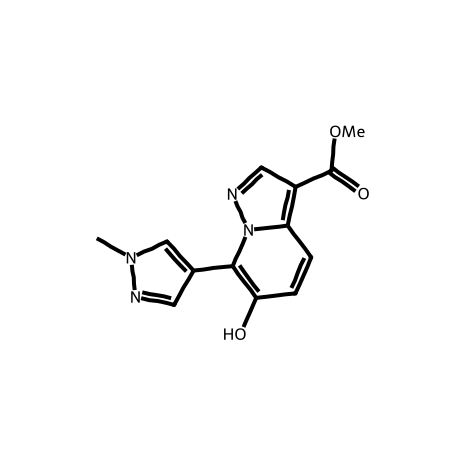 COC(=O)c1cnn2c(-c3cnn(C)c3)c(O)ccc12